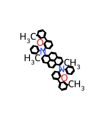 Cc1ccccc1N(c1ccc2ccc3c(N(c4ccccc4C)c4cccc5c4oc4c(C)cccc45)ccc4ccc1c2c43)c1cccc2c1oc1c(C)cccc12